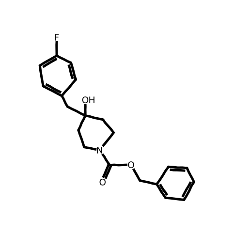 O=C(OCc1ccccc1)N1CCC(O)(Cc2ccc(F)cc2)CC1